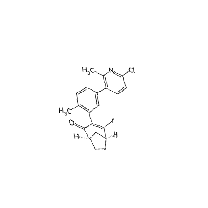 Cc1ccc(-c2ccc(Cl)nc2C)cc1C1=C(I)[C@H]2CC[C@H](C2)C1=O